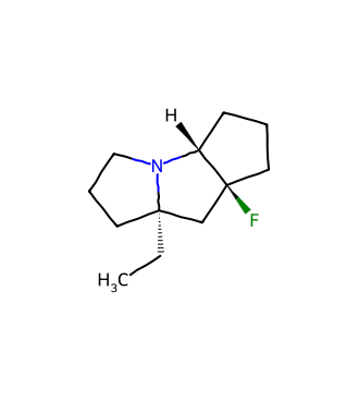 CC[C@]12CCCN1[C@@H]1CCC[C@]1(F)C2